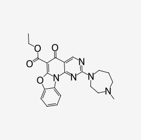 CCOC(=O)c1c(=O)c2cnc(N3CCCN(C)CC3)nc2n2c1oc1ccccc12